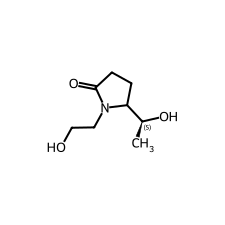 C[C@H](O)C1CCC(=O)N1CCO